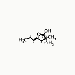 CCC=CC[C@](C)(N)C(=O)O